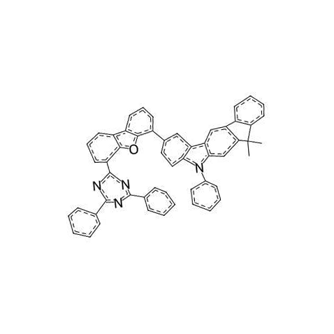 CC1(C)c2ccccc2-c2cc3c4cc(-c5cccc6c5oc5c(-c7nc(-c8ccccc8)nc(-c8ccccc8)n7)cccc56)ccc4n(-c4ccccc4)c3cc21